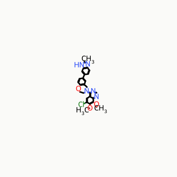 COc1c(Cl)cc2c(N3CCOc4ccc(-c5ccc6nc(C)[nH]c6c5)cc4C3)ncnc2c1OC